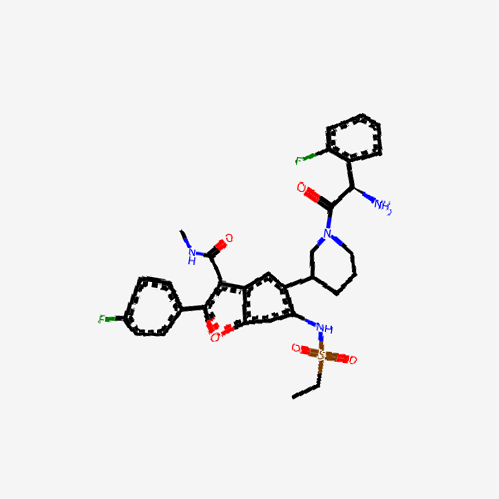 CCS(=O)(=O)Nc1cc2oc(-c3ccc(F)cc3)c(C(=O)NC)c2cc1C1CCCN(C(=O)[C@H](N)c2ccccc2F)C1